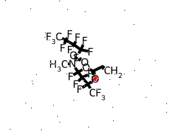 C=CC(=O)OC(F)(N(C)S(=O)(=O)C(F)(F)C(F)(F)C(F)(F)C(F)(F)F)C(F)(F)C(F)(F)C(F)(F)F